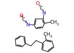 Cc1ccc(N=C=O)cc1N=C=O.Cc1ccccc1CCc1ccccc1